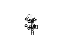 CC1=C(C)C(C)[C]([Zr+]([CH]2C=Cc3c(-c4ccccc4)cccc32)[SiH](C)C)=C1C.CC1=C(C)C(C)[C]([Zr+]([CH]2C=Cc3c(-c4ccccc4)cccc32)[SiH](C)C)=C1C.[Cl-].[Cl-]